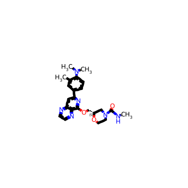 CNC(=O)N1CCO[C@H](COc2nc(-c3ccc(N(C)C)c(C)c3)cc3nccnc23)C1